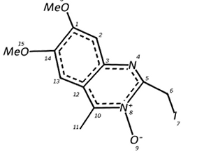 COc1cc2nc(CI)[n+]([O-])c(C)c2cc1OC